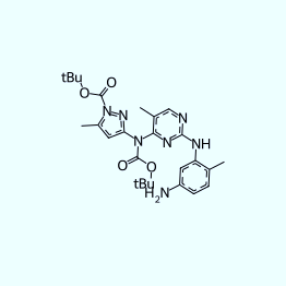 Cc1ccc(N)cc1Nc1ncc(C)c(N(C(=O)OC(C)(C)C)c2cc(C)n(C(=O)OC(C)(C)C)n2)n1